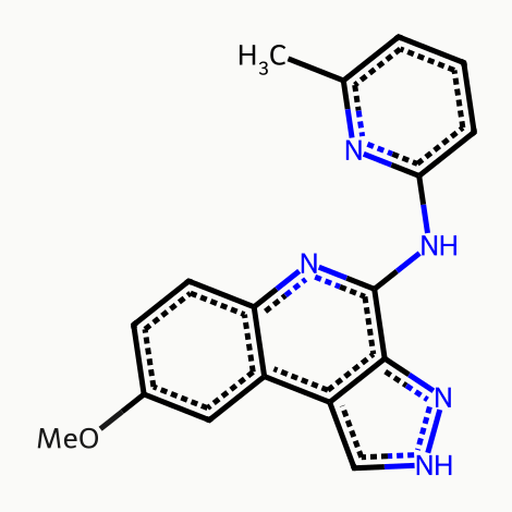 COc1ccc2nc(Nc3cccc(C)n3)c3n[nH]cc3c2c1